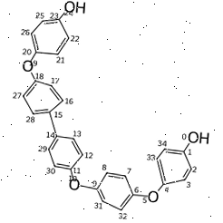 Oc1ccc(Oc2ccc(Oc3ccc(-c4ccc(Oc5ccc(O)cc5)cc4)cc3)cc2)cc1